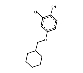 N#Cc1ccc(OCC2CCCCC2)cc1Cl